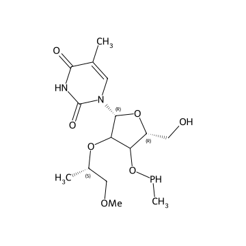 COC[C@H](C)OC1C(OPC)[C@@H](CO)O[C@H]1n1cc(C)c(=O)[nH]c1=O